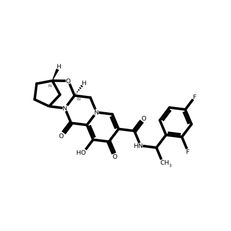 CC(NC(=O)c1cn2c(c(O)c1=O)C(=O)N1C3CC[C@@H](C3)O[C@H]1C2)c1ccc(F)cc1F